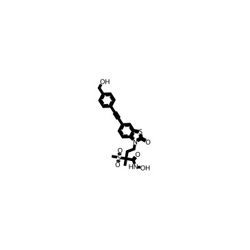 CC(CCn1c(=O)sc2cc(C#Cc3ccc(CO)cc3)ccc21)(C(=O)NO)S(C)(=O)=O